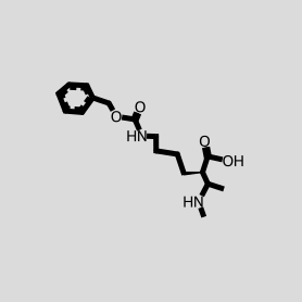 CNC(C)[C@@H](CCCCNC(=O)OCc1ccccc1)C(=O)O